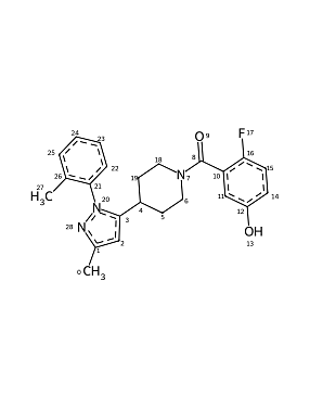 Cc1cc(C2CCN(C(=O)c3cc(O)ccc3F)CC2)n(-c2ccccc2C)n1